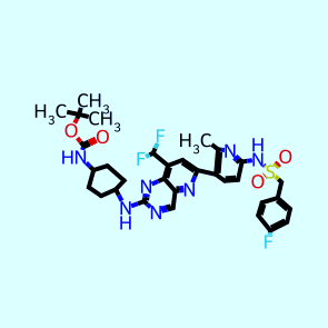 Cc1nc(NS(=O)(=O)Cc2ccc(F)cc2)ccc1-c1cc(C(F)F)c2nc(NC3CCC(NC(=O)OC(C)(C)C)CC3)ncc2n1